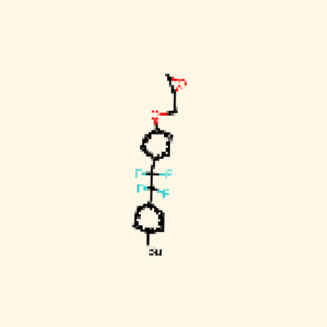 CCC(C)c1ccc(C(F)(F)C(F)(F)c2ccc(OCC3CO3)cc2)cc1